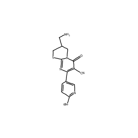 CC(C)(C)c1ccc(-c2nc3n(c(=O)c2C#N)CC(CN)CS3)cn1